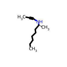 CC#CN[C@H](C)CCCCCC